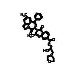 Cc1cc2c3c(c1)C(c1ccccc1)=NC(n1c(C)nc4cc(C(=O)OCC(O)CN5CCOCC5)ccc4c1=O)C(=O)N3CC2